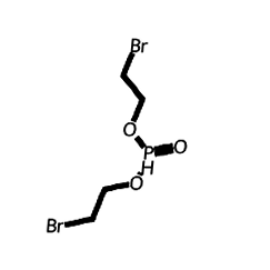 O=[PH](OCCBr)OCCBr